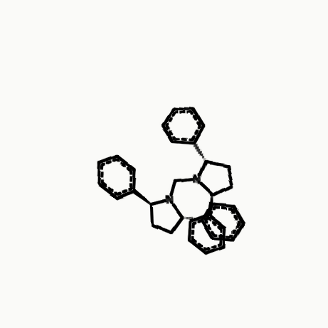 c1ccc([C@@H]2CC[C@@H](c3ccccc3)N2CN2[C@H](c3ccccc3)CC[C@H]2c2ccccc2)cc1